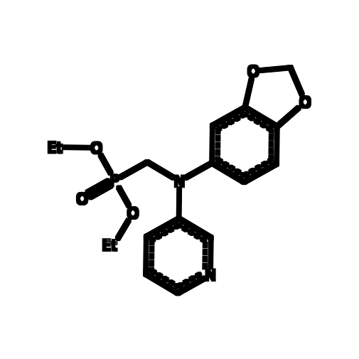 CCOP(=O)(CN(c1cccnc1)c1ccc2c(c1)OCO2)OCC